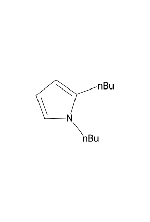 CCCCc1cccn1CCCC